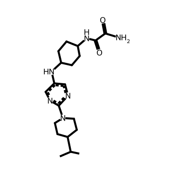 CC(C)C1CCN(c2ncc(NC3CCC(NC(=O)C(N)=O)CC3)cn2)CC1